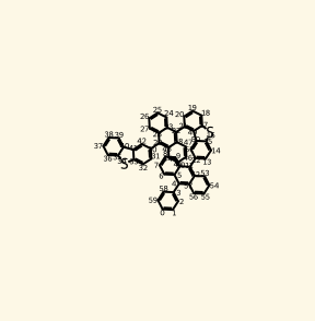 c1ccc(-c2c3ccccc3c(-c3ccc4sc5cccc(-c6c7ccccc7c(-c7ccc8sc9ccccc9c8c7)c7ccccc67)c5c4c3)c3ccccc23)cc1